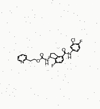 O=C(N[C@H]1CCc2c(C(=O)Nc3ccc(F)c(Cl)c3)ccc(F)c21)OCCc1ccccn1